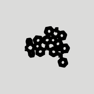 c1ccc(-n2c3ccccc3c3cc(N(c4cccc5c4-c4ccccc4C54c5ccccc5Sc5ccccc54)c4cccc5c4-c4ccccc4C54c5ccccc5Sc5ccccc54)ccc32)cc1